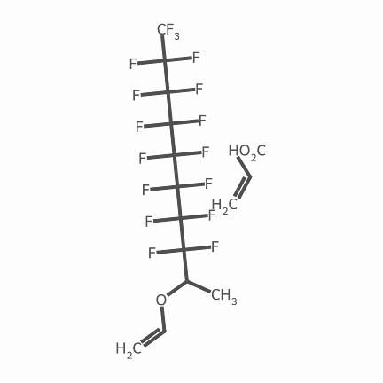 C=CC(=O)O.C=COC(C)C(F)(F)C(F)(F)C(F)(F)C(F)(F)C(F)(F)C(F)(F)C(F)(F)C(F)(F)F